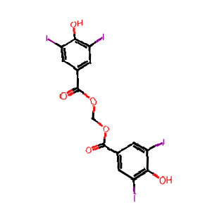 O=C(OCOC(=O)c1cc(I)c(O)c(I)c1)c1cc(I)c(O)c(I)c1